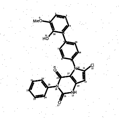 COc1cccc(-c2ccc(-n3c(Cl)cc4[nH]c(=O)n(-c5ccccc5)c(=O)c43)cc2)c1O